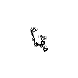 C[C@@H](COCCOCCn1ncc(-c2nn(C3CCCCO3)c3ccc(O[Si](C)(C)C(C)(C)C)cc23)n1)OS(C)(=O)=O